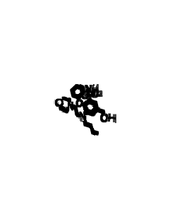 CCCCN(CCN1CCOCC1)c1cc(CO)cc(S(N)(=O)=O)c1Oc1ccccc1